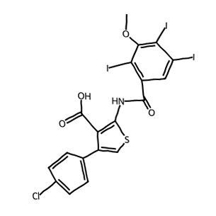 COc1c(I)c(I)cc(C(=O)Nc2scc(-c3ccc(Cl)cc3)c2C(=O)O)c1I